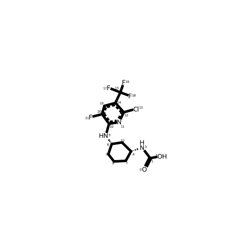 O=C(O)N[C@@H]1CCC[C@H](Nc2nc(Cl)c(C(F)(F)F)cc2F)C1